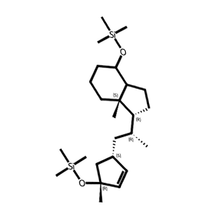 C[C@H](C[C@@H]1C=C[C@](C)(O[Si](C)(C)C)C1)[C@H]1CCC2C(O[Si](C)(C)C)CCC[C@]21C